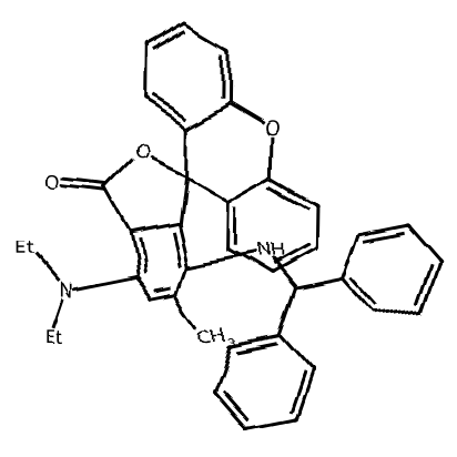 CCN(CC)c1cc(C)c(NC(c2ccccc2)c2ccccc2)c2c1C(=O)OC21c2ccccc2Oc2ccccc21